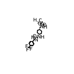 CCS(=O)(=O)NC[C@H]1CC[C@H](Nc2nc(-c3ccc(C(F)(F)F)cc3)no2)CC1